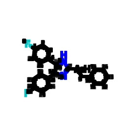 Fc1ccc([C@H]2NC([AsH]Cc3ccccc3)=N[C@H]2c2ccc(F)cc2)cc1